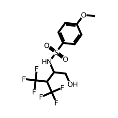 COc1ccc(S(=O)(=O)NC(CO)C(C(F)(F)F)C(F)(F)F)cc1